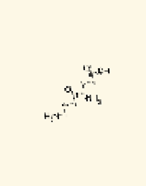 NCCCC(=O)C(N)CCC(=O)O